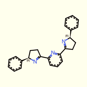 c1ccc([C@H]2CCC(c3cccc(C4=N[C@@H](c5ccccc5)CC4)n3)=N2)cc1